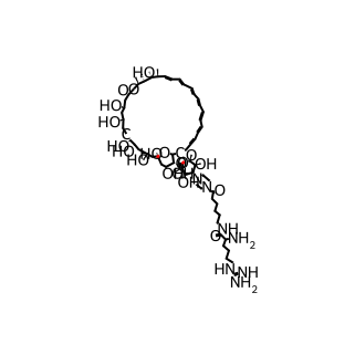 C[C@@H]1[C@H](O)[C@@H](C)/C=C/C=C/C=C/C=C/C=C/C=C/C=C/[C@H](O[C@@H]2O[C@H](C)[C@@H](O)[C@H](N3CCN(C(=O)CCCCCNC(=O)C(N)CCCCNC(=N)N)CC3)[C@@H]2O)CC2O[C@](O)(C[C@@H](O)C[C@@H](O)[C@H](O)CC[C@@H](O)C[C@@H](O)CC(=O)O[C@H]1C)C[C@H](O)[C@H]2C(=O)O